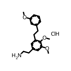 COc1cccc(CCc2cc(CCN)cc(OC)c2OC)c1.Cl